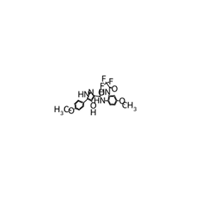 COc1ccc(-c2[nH]nc(C(=O)Nc3ccc(OC)cc3NC(=O)C(F)(F)F)c2O)cc1